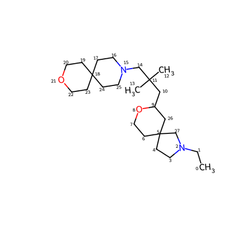 CCN1CCC2(CCOC(CC(C)(C)CN3CCC4(CCOCC4)CC3)C2)C1